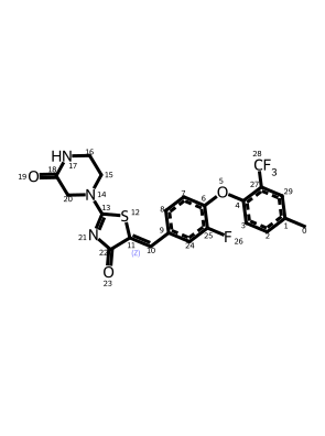 Cc1ccc(Oc2ccc(/C=C3\SC(N4CCNC(=O)C4)=NC3=O)cc2F)c(C(F)(F)F)c1